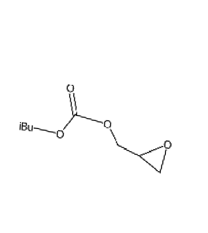 CCC(C)OC(=O)OCC1CO1